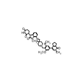 COc1cc(-c2cn(C)c(=O)c3c2CCC3)cc(OC)c1CN1CCC2(CC1)CN(c1cccc3c1n(C)c(=O)n3C1CCC(=O)NC1=O)C2